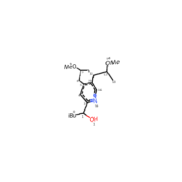 CCC(C)C(O)c1cc(CC(C)OC)c(CC(C)OC)cn1